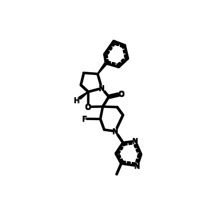 Cc1cc(N2CCC3(O[C@@H]4CC[C@@H](c5ccccc5)N4C3=O)C(F)C2)ncn1